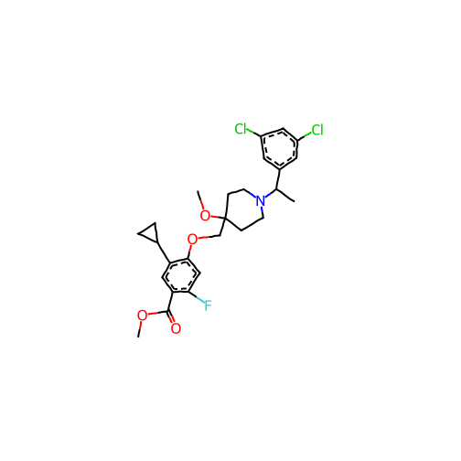 COC(=O)c1cc(C2CC2)c(OCC2(OC)CCN(C(C)c3cc(Cl)cc(Cl)c3)CC2)cc1F